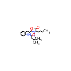 CCCCC([C]=O)NC(=O)C(Cc1ccccc1)NC(=O)CC(C)C